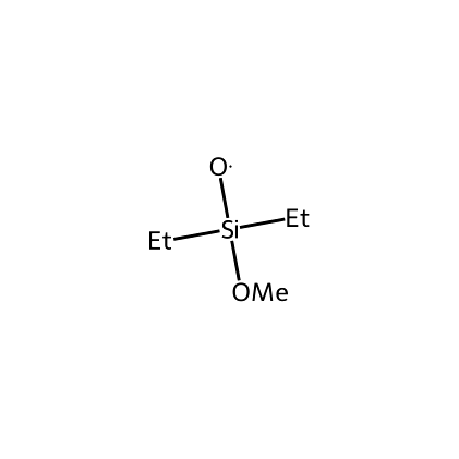 CC[Si]([O])(CC)OC